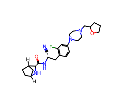 N#C[C@H](Cc1ccc(N2CCN(CC3CCCO3)CC2)cc1F)NC(=O)[C@H]1N[C@@H]2CC[C@H]1C2